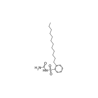 CCCCCCCCCCCCc1ccccc1S(=O)(=O)NC(N)=O